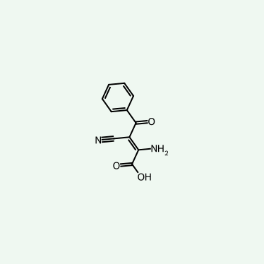 N#CC(C(=O)c1ccccc1)=C(N)C(=O)O